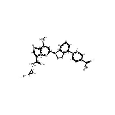 CNc1cc(N2CCc3c(-c4ccc(C(=O)O)cn4)cccc32)nn2c(C(=O)N[C@@H]3C[C@@H]3F)cnc12